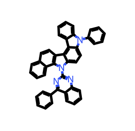 c1ccc(-c2nc(-n3c4ccc5c(c6ccccc6n5-c5ccccc5)c4c4ccc5ccccc5c43)nc3ccccc23)cc1